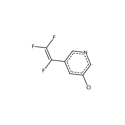 FC(F)=C(F)c1cn[c]c(Cl)c1